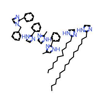 CCCCCCCCCCCCCCCCCc1ncc[nH]1.CCCCCCCCCCCc1ncc[nH]1.Cc1c[nH]c(-c2ccccc2)n1.Cc1ncc[nH]1.c1ccc(-c2ncc[nH]2)cc1.c1ccc(Cn2ccnc2-c2ccccc2)cc1